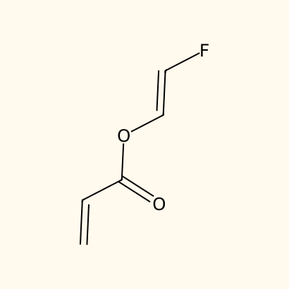 C=CC(=O)OC=CF